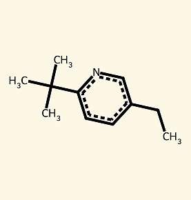 CCc1ccc(C(C)(C)C)nc1